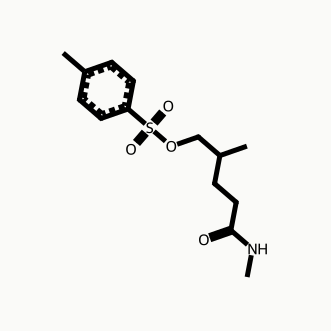 CNC(=O)CCC(C)COS(=O)(=O)c1ccc(C)cc1